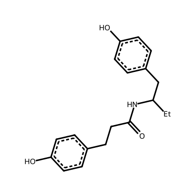 CCC(Cc1ccc(O)cc1)NC(=O)CCc1ccc(O)cc1